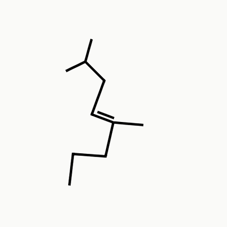 CCCC(C)=CCC(C)C